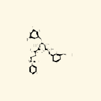 CCc1cccc(CNC[C@H](O)[C@H](Cc2cc(F)cc(F)c2)NC(=O)C(O)CCS(=O)(=O)c2ccccc2)c1